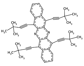 CC(C)(C)C#Cc1c2ccccc2c(C#CC(C)(C)C)c2nc3c(C#CC(C)(C)C)c4ccccc4c(C#CC(C)(C)C)c3nc12